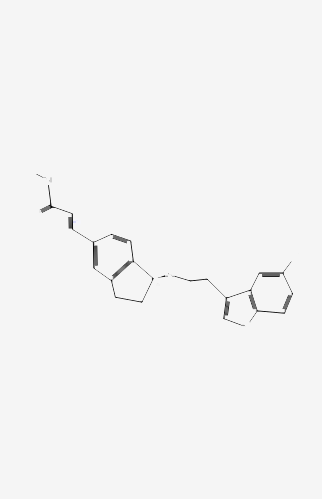 O=C(/C=C/c1ccc2c(c1)CC[C@@H]2NCCc1c[nH]c2ccc(Cl)cc12)NO